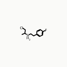 CC(CCl)[SiH2]CCc1ccc(F)cc1